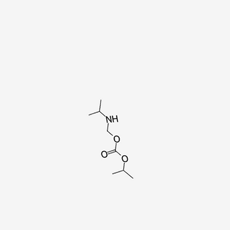 CC(C)NCOC(=O)OC(C)C